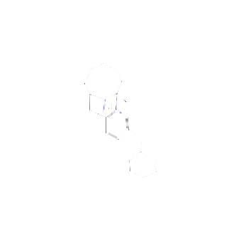 C[C@@]12CCCCCC(Cc3ccc(OC4CCCCO4)cc31)[C@@H]2N